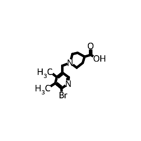 Cc1c(CN2CCC(C(=O)O)CC2)cnc(Br)c1C